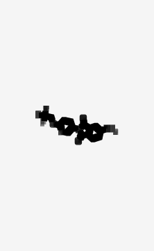 Nc1ccc2c(c1)C(=O)N(c1ccc(OCC(F)(F)F)nc1)C2=O